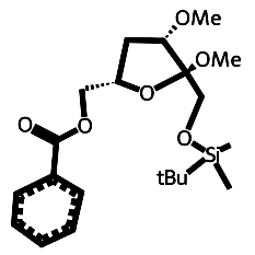 CO[C@H]1C[C@@H](COC(=O)c2ccccc2)O[C@]1(CO[Si](C)(C)C(C)(C)C)OC